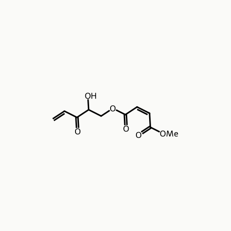 C=CC(=O)C(O)COC(=O)/C=C\C(=O)OC